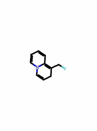 FCC1=C2C=CC=CN2C=CC1